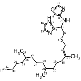 C/C(=C\CSCC(Nc1cocn1)c1ncc[nH]1)CCCC(C)CCCC(C)CCCC(C)C